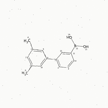 Cc1cc(C)cc(-c2cccc(B(O)O)c2)c1